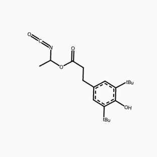 CC(N=C=O)OC(=O)CCc1cc(C(C)(C)C)c(O)c(C(C)(C)C)c1